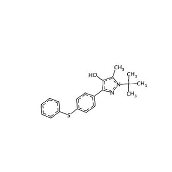 Cc1c(O)c(-c2ccc(Sc3ccccc3)cc2)nn1C(C)(C)C